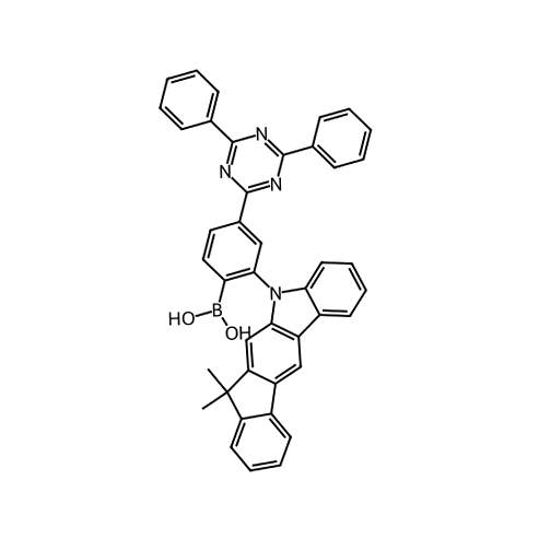 CC1(C)c2ccccc2-c2cc3c4ccccc4n(-c4cc(-c5nc(-c6ccccc6)nc(-c6ccccc6)n5)ccc4B(O)O)c3cc21